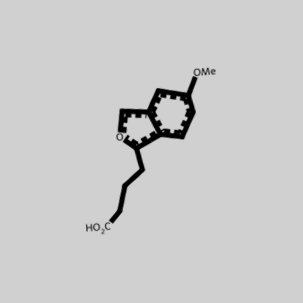 COc1ccc2c(CCCC(=O)O)occ2c1